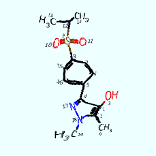 Cc1c(O)c(-c2ccc(S(=O)(=O)C(C)C)cc2)nn1C